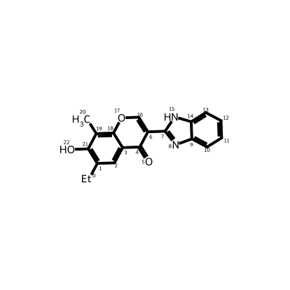 CCc1cc2c(=O)c(-c3nc4ccccc4[nH]3)coc2c(C)c1O